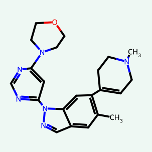 Cc1cc2cnn(-c3cc(N4CCOCC4)ncn3)c2cc1C1=CCN(C)CC1